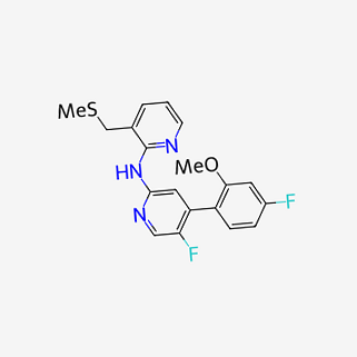 COc1cc(F)ccc1-c1cc(Nc2ncccc2CSC)ncc1F